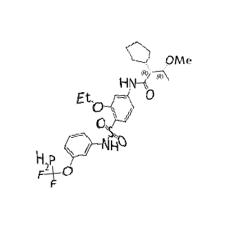 CCOc1cc(NC(=O)[C@H](C2CCCC2)[C@@H](C)OC)ccc1S(=O)(=O)Nc1cccc(OC(F)(F)P)c1